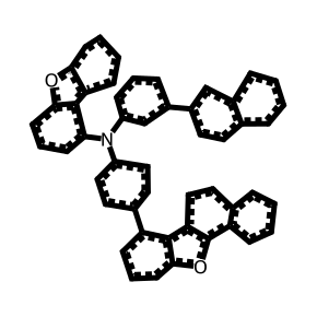 c1cc(-c2ccc3ccccc3c2)cc(N(c2ccc(-c3cccc4oc5c6ccccc6ccc5c34)cc2)c2cccc3oc4ccccc4c23)c1